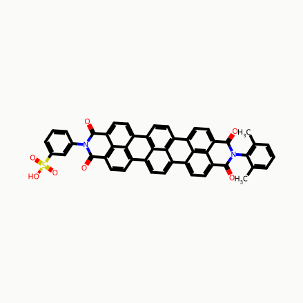 Cc1cccc(C)c1N1C(=O)c2ccc3c4ccc5c6ccc7c8c(ccc(c9ccc(c%10ccc(c2c3%10)C1=O)c4c59)c86)C(=O)N(c1cccc(S(=O)(=O)O)c1)C7=O